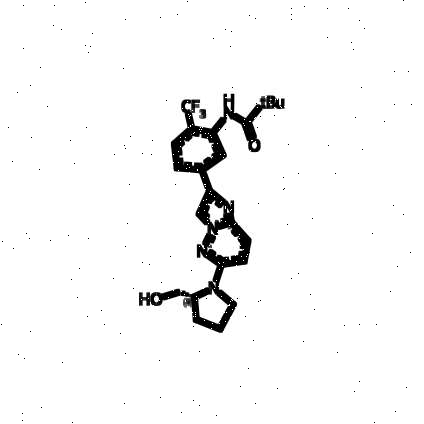 CC(C)(C)C(=O)Nc1cc(-c2cn3nc(N4CCC[C@@H]4CO)ccc3n2)ccc1C(F)(F)F